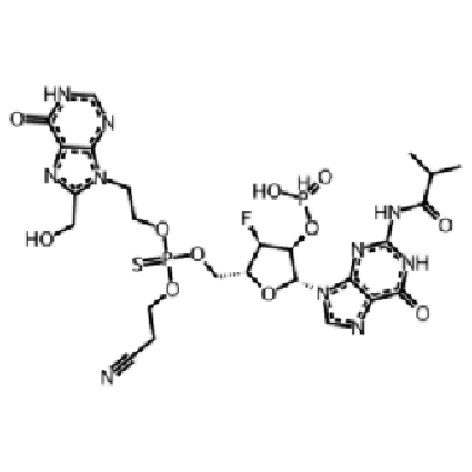 CC(C)C(=O)Nc1nc2c(ncn2[C@@H]2O[C@H](COP(=S)(OCCC#N)OCCn3c(CO)nc4c(=O)[nH]cnc43)[C@@H](F)[C@H]2O[PH](=O)O)c(=O)[nH]1